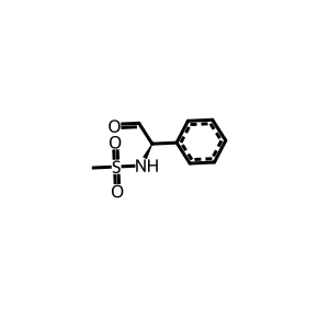 CS(=O)(=O)N[C@@H](C=O)c1ccccc1